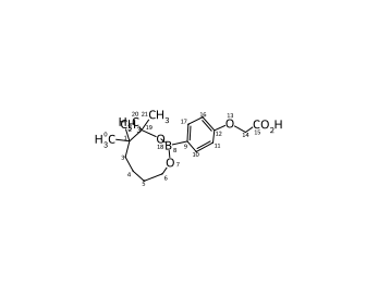 CC1(C)CCCCOB(c2ccc(OCC(=O)O)cc2)OC1(C)C